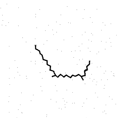 [CH2]CCC=CCC(C)CCCCCCCCC(C)CCCCCCCCCC[CH2]